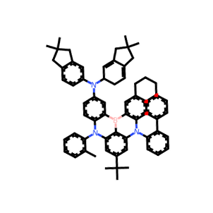 Cc1ccccc1N1c2ccc(N(c3ccc4c(c3)CC(C)(C)C4)C3C=C4CC(C)(C)CC4=CC3)cc2B2c3cc4c(cc3N(c3ccccc3-c3ccccc3)c3cc(C(C)(C)C)cc1c32)CCCC4